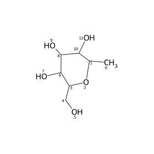 CC1OC(CO)C(O)C(O)C1O